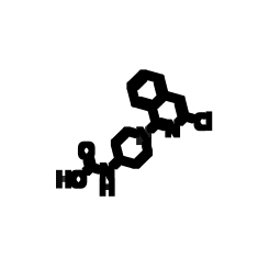 O=C(O)NC1CCN(c2nc(Cl)cc3ccccc23)CC1